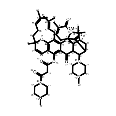 COC(=O)/C(C)=C\CC12OC(C)(C)C3CC(C1=O)C(N1CCN(C)CC1)C1C(=O)c4c(OC(=O)CC(=O)N5CCN(C)CC5)c5c(c(CC=C(C)C)c4OC132)OC(C)(CCC=C(C)C)C=C5